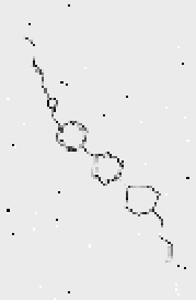 C=CCC[C@H]1CC[C@H](c2ccc(-c3ccc(COC/C=C/CC)cc3)cc2)CC1